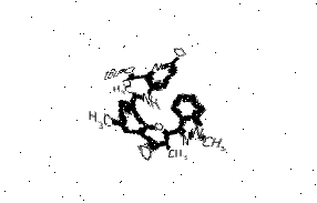 Cc1cc([C@@H](C)Nc2ccc(Cl)nc2C(=O)OC(C)(C)C)c2oc(-c3nn(C)c4ccccc34)c(C)c(=O)c2c1